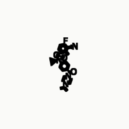 Cc1c(S(=O)(=O)N(C2CC2)[C@H]2CC[C@H](C(=O)N3CCN(C(C)C)CC3)CC2)ccc(F)c1C#N